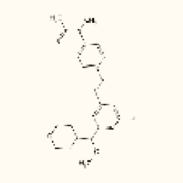 COC(c1cc(F)cc(SCc2ccc(N(C)C(C)=S)cc2)c1)C1CCOCC1